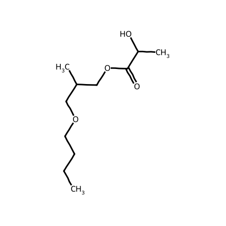 CCCCOCC(C)COC(=O)C(C)O